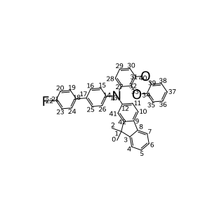 CC1(C)c2ccccc2-c2ccc(N(c3ccc(-c4ccc(F)cc4)cc3)c3cccc4c3Oc3ccccc3O4)cc21